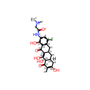 CCN(C)CC(=O)Nc1cc(F)c2c(c1O)C(=O)C1=C(O)[C@]3(O)C(=O)C(C)=C(O)C[C@@H]3CC1C2